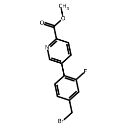 COC(=O)c1ccc(-c2ccc(CBr)cc2F)cn1